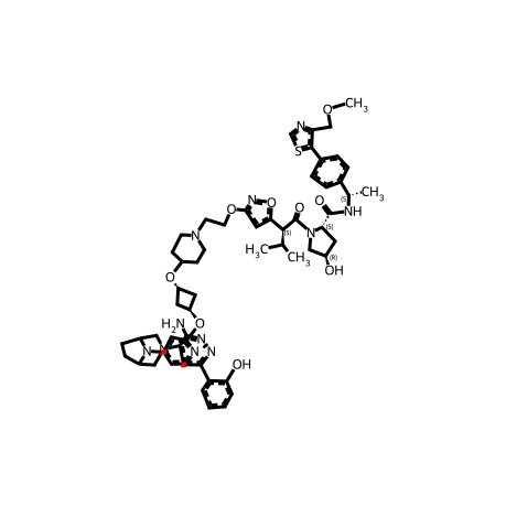 COCc1ncsc1-c1ccc([C@H](C)NC(=O)[C@@H]2C[C@@H](O)CN2C(=O)[C@H](c2cc(OCCN3CCC(O[C@H]4C[C@H](Oc5cc(N6C7CCC6CN(c6cc(-c8ccccc8O)nnc6N)C7)ccn5)C4)CC3)no2)C(C)C)cc1